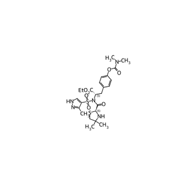 CCOC(=O)[C@H](Cc1ccc(OC(=O)N(C)C)cc1)N(C(=O)[C@H]1NC(C)(C)CS1)S(=O)(=O)c1c[nH]nc1C